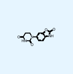 O=C1CCN(c2ccc3[nH]c(=O)oc3c2)C(=O)N1